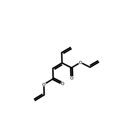 C=COC(=O)/C=C(/C=C)C(=O)OC=C